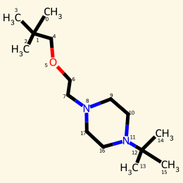 CC(C)(C)COCCN1CCN(C(C)(C)C)CC1